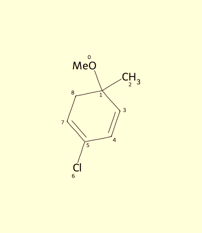 COC1(C)C=CC(Cl)=CC1